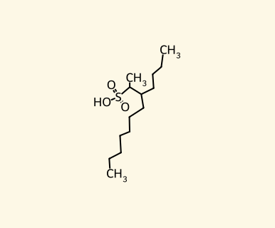 CCCCCCCC(CCCC)C(C)S(=O)(=O)O